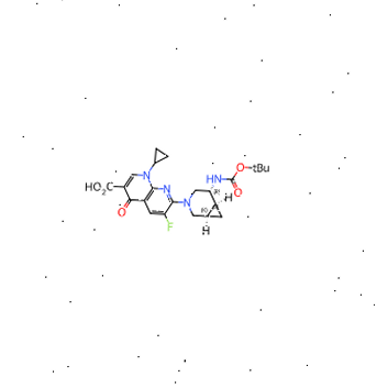 CC(C)(C)OC(=O)N[C@H]1CN(c2nc3c(cc2F)c(=O)c(C(=O)O)cn3C2CC2)C[C@@H]2C[C@@H]21